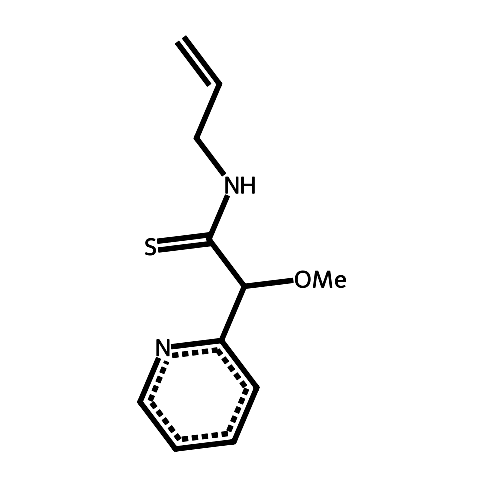 C=CCNC(=S)C(OC)c1ccccn1